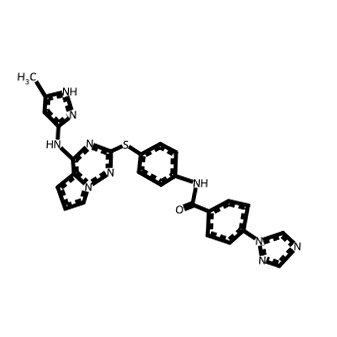 Cc1cc(Nc2nc(Sc3ccc(NC(=O)c4ccc(-n5cncn5)cc4)cc3)nn3cccc23)n[nH]1